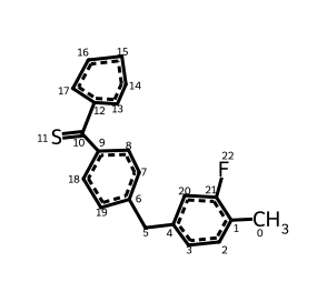 Cc1ccc(Cc2ccc(C(=S)c3ccccc3)cc2)cc1F